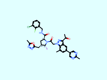 CC(=O)c1nn(CC(=O)N2[C@H](I)[C@@H](Cc3nnc(C)o3)C[C@H]2C(=O)NCc2cccc(Cl)c2F)c2c(C)cc(-c3cnc(C)nc3)cc12